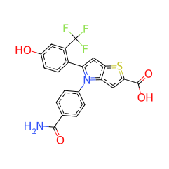 NC(=O)c1ccc(-n2c(-c3ccc(O)cc3C(F)(F)F)cc3sc(C(=O)O)cc32)cc1